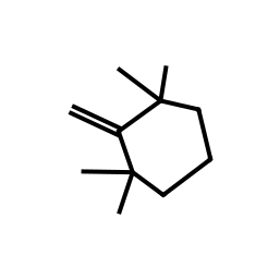 C=C1C(C)(C)CCCC1(C)C